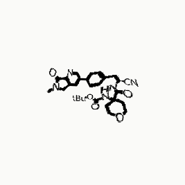 CN1Cc2cc(-c3ccc(C[C@@H](C#N)NC(=O)C4(NC(=O)OC(C)(C)C)CCOCC4)cc3)cnc2C1=O